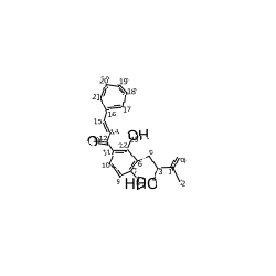 C=C(C)C(O)Cc1c(O)ccc(C(=O)/C=C/c2ccccc2)c1O